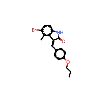 CCCOc1ccc(C=C2C(=O)Nc3ccc(Br)c(C)c32)cc1